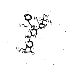 CC1NC(=O)c2ccc(Nc3ncc(-c4nc(C(C)(C)O)no4)c(N[C@H](CO)c4ccccc4)n3)nc21